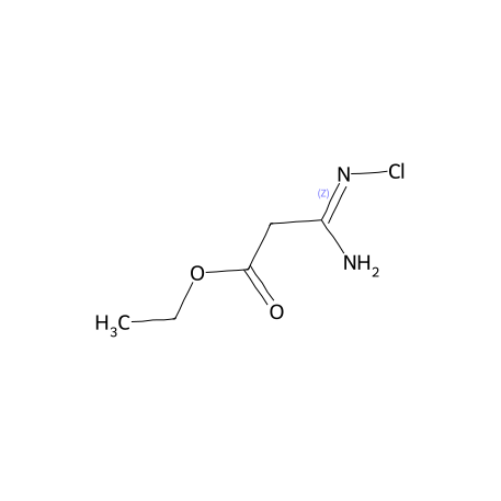 CCOC(=O)C/C(N)=N/Cl